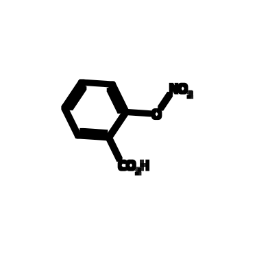 O=C(O)c1ccccc1O[N+](=O)[O-]